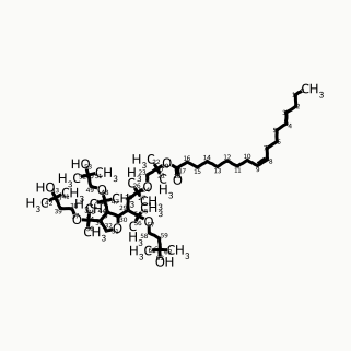 CCCCCCCC/C=C\CCCCCCCC(=O)OC(C)(C)COC(C)(C)CC(C1OCC(C(C)(C)OCCC(C)(C)O)C1C(C)(C)OCC(C)(C)O)C(C)(C)OCCC(C)(C)O